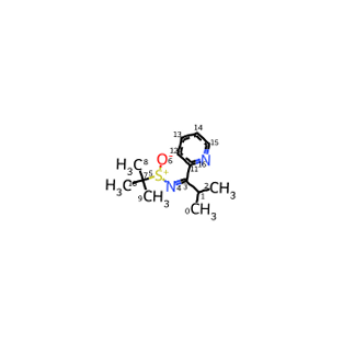 CC(C)/C(=N/[S+]([O-])C(C)(C)C)c1ccccn1